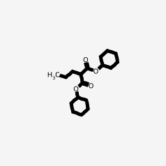 CCCC(C(=O)OC1CCCCC1)C(=O)OC1CCCCC1